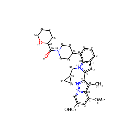 COc1cc(C=O)cn2nc(-c3cc4cccc(C5CCN(C(=O)C6CCCCO6)CC5)c4n3CC3CC3)c(C)c12